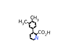 Cc1ccc(-c2cccnc2C(=O)O)cc1C